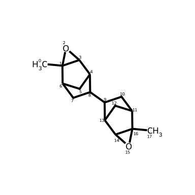 CC12OC1C1CC2CC1C1CC2CC1C1OC21C